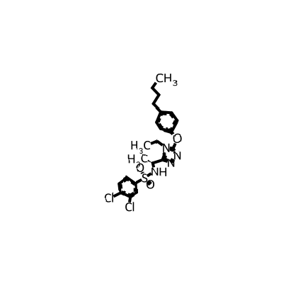 CCCCc1ccc(Oc2nnc([C@@H](C)NS(=O)(=O)c3ccc(Cl)c(Cl)c3)n2CC)cc1